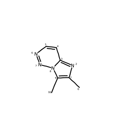 Cc1nc2ccnnn2c1C